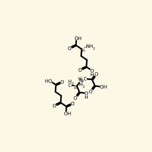 CC(=O)C(=O)O.C[C@@H](N)C(=O)O.N[C@H](CCC(=O)O)C(=O)O.O=C(O)CCC(=O)C(=O)O